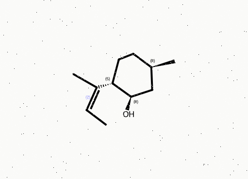 C/C=C(/C)[C@@H]1CC[C@@H](C)C[C@H]1O